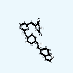 O=C1NC(=O)C(=Cc2ccnc(NC3CCC(NCc4ccc5occc5c4)CC3)n2)S1